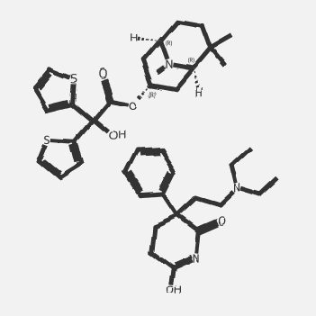 CCN(CC)CCC1(c2ccccc2)CCC(O)=NC1=O.CN1[C@@H]2CCC(C)(C)[C@H]1C[C@H](OC(=O)C(O)(c1cccs1)c1cccs1)C2